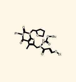 CCO/C=C/C(=O)N(Cc1sc2c(c1C)c(=O)n(C(C)C)c(=O)n2CC1CCCO1)NC(=O)OC(C)(C)C